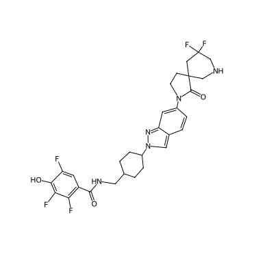 O=C(NCC1CCC(n2cc3ccc(N4CCC5(CNCC(F)(F)C5)C4=O)cc3n2)CC1)c1cc(F)c(O)c(F)c1F